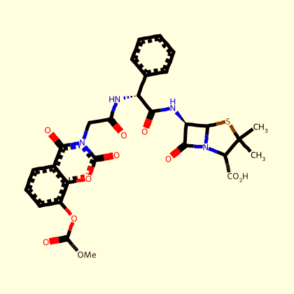 COC(=O)Oc1cccc2c(=O)n(CC(=O)N[C@@H](C(=O)N[C@@H]3C(=O)N4C3SC(C)(C)C4C(=O)O)c3ccccc3)c(=O)oc12